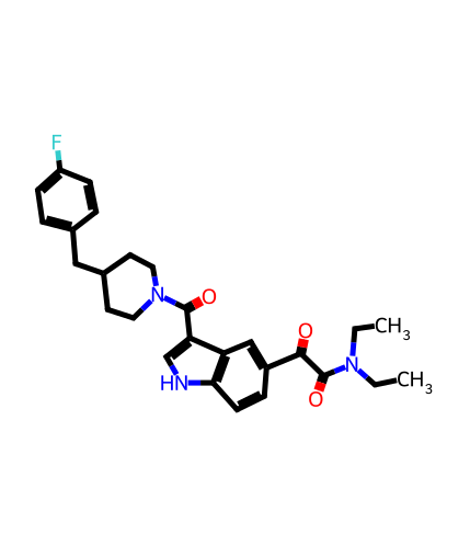 CCN(CC)C(=O)C(=O)c1ccc2[nH]cc(C(=O)N3CCC(Cc4ccc(F)cc4)CC3)c2c1